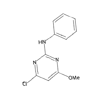 COc1cc(Cl)nc(Nc2ccccc2)n1